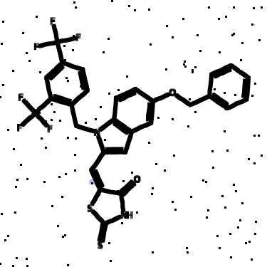 O=C1NC(=S)S/C1=C/c1cc2cc(OCc3ccccc3)ccc2n1Cc1ccc(C(F)(F)F)cc1C(F)(F)F